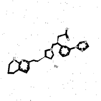 O=C([O-])C[C@H](CN1CC[C@@H](CCc2ccc3c(n2)NCCC3)C1)c1cccc(-n2cncn2)c1.[Na+]